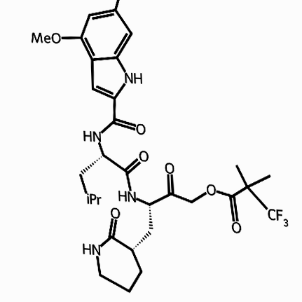 COc1cc(Cl)cc2[nH]c(C(=O)N[C@@H](CC(C)C)C(=O)N[C@@H](C[C@@H]3CCCNC3=O)C(=O)COC(=O)C(C)(C)C(F)(F)F)cc12